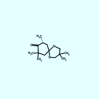 C[C@@H]1CC2(CC(C)(C)C1=O)OCC(C)(C)CO2